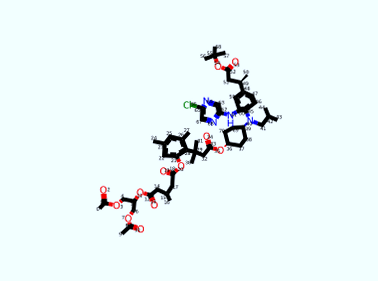 CC(=O)OCC(COC(C)=O)OC(=O)CC(C)CC(=O)Oc1cc(C)cc(C)c1C(C)(C)CC(=O)O[C@H]1CC[C@H](N(CC(C)C)c2ccc([C@H](C)CC(=O)OC(C)(C)C)cc2Nc2cnc(Cl)cn2)CC1